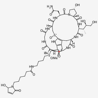 CC[C@H](C)[C@@H]1NC(=O)CNC(=O)[C@@H]2Cc3c([nH]c4c(CSCCCCNC(=O)CCCCCN5C(=O)C=CC5O)c(OC)ccc34)[S+]([O-])C[C@H](NC(=O)CNC1=O)C(=O)N[C@@H](CC(N)=O)C(=O)N1C[C@H](O)C[C@@H]1C(=O)N[C@@H]([C@@H](C)[C@@H](O)CO)C(=O)N2